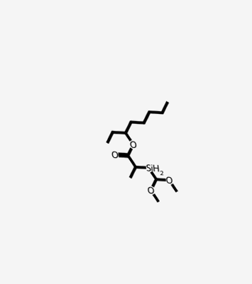 CCCCCC(CC)OC(=O)C(C)[SiH2]C(OC)OC